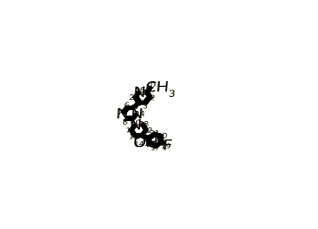 Cc1ccc(-c2cncc(N3CCC(O)(c4ccc(F)cc4)CC3)n2)cn1